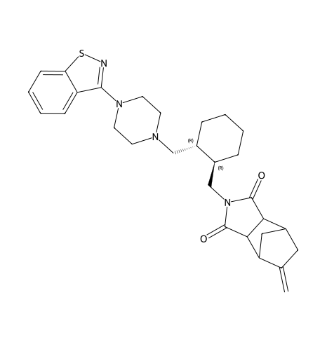 C=C1CC2CC1C1C(=O)N(C[C@@H]3CCCC[C@H]3CN3CCN(c4nsc5ccccc45)CC3)C(=O)C21